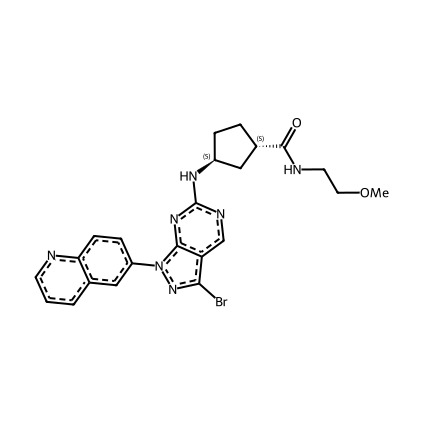 COCCNC(=O)[C@H]1CC[C@H](Nc2ncc3c(Br)nn(-c4ccc5ncccc5c4)c3n2)C1